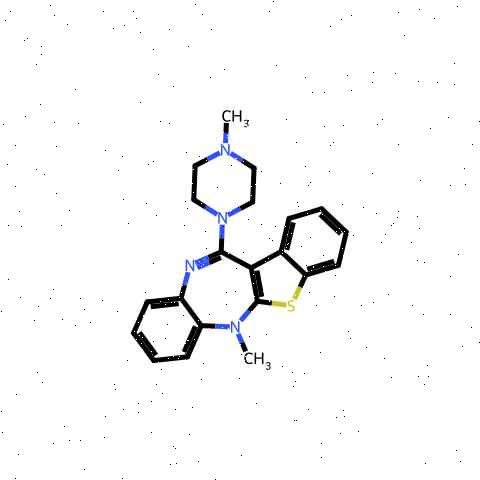 CN1CCN(C2=Nc3ccccc3N(C)c3sc4ccccc4c32)CC1